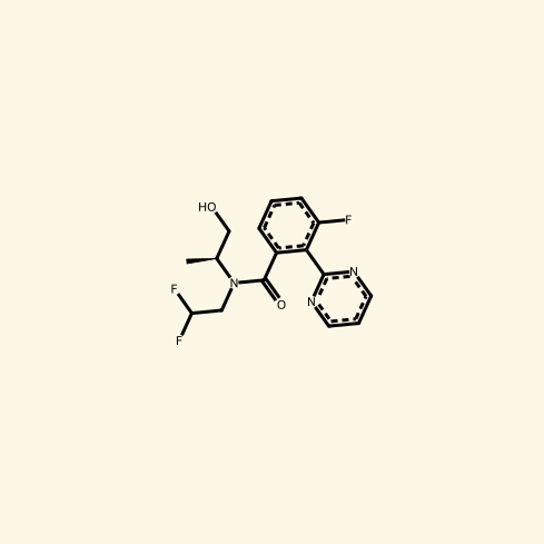 C[C@@H](CO)N(CC(F)F)C(=O)c1cccc(F)c1-c1ncccn1